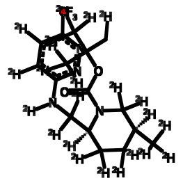 [2H]CC(OC(=O)N1C([2H])([2H])[C@@]([2H])(C([2H])([2H])[2H])C([2H])([2H])C([2H])([2H])[C@@]1([2H])C([2H])([2H])N([2H])c1nnc(C(F)(F)F)c([2H])c1[2H])(C([2H])([2H])[2H])C([2H])([2H])[2H]